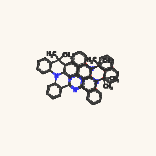 CC1(C)c2ccccc2N(c2ccccc2-c2nc(-c3ccccc3N3c4ccccc4C(C)(C)c4ccccc43)nc(-c3ccccc3N3c4ccccc4C(C)(C)c4ccccc43)n2)c2ccccc21